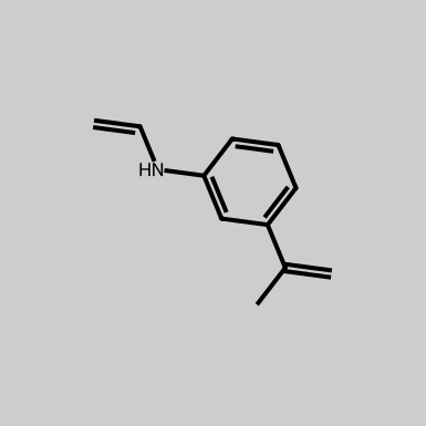 C=CNc1cccc(C(=C)C)c1